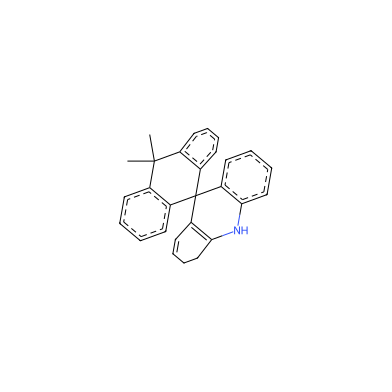 CC1(C)c2ccccc2C2(C3=C(CCC=C3)Nc3ccccc32)c2ccccc21